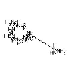 CC(C)[C@@H]1NC(=O)[C@@H](C(C)C)NC(=O)[C@@H](NC(=O)CC(O)CCCCCCCCCCCCNC(=N)N)[C@@H](C)OC(=O)[C@@H](C)NC(=O)[C@@H](CC(N)=O)NC(=O)[C@@H]([C@@H](C)O)NC1=O